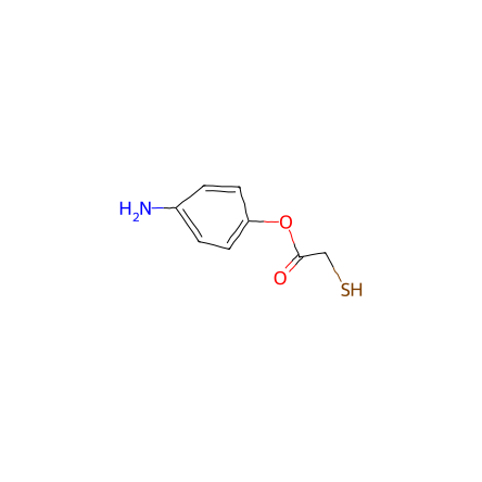 Nc1ccc(OC(=O)CS)cc1